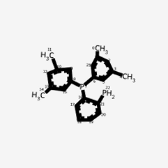 Cc1cc(C)cc(P(c2cc(C)cc(C)c2)c2ccccc2P)c1